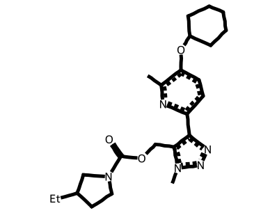 CCC1CCN(C(=O)OCc2c(-c3ccc(OC4CCCCC4)c(C)n3)nnn2C)C1